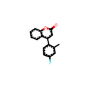 Cc1cc(F)ccc1-c1cc(=O)oc2ccccc12